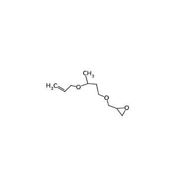 C=CCOC(C)CCOCC1CO1